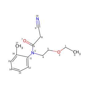 CCOCCN(C(=O)CC#N)c1ccccc1C